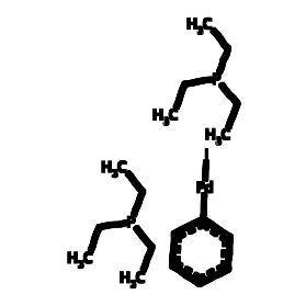 CCP(CC)CC.CCP(CC)CC.[I][Pd][c]1ccccc1